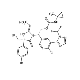 CC(C)(C)C[C@]1(c2ccc(Br)cc2)N/C(=N\C(=O)O)N([C@H](COC(=O)NC2(C(F)(F)F)CC2)c2ccc(Cl)c(-c3ncnn3C(F)F)c2)C1=O